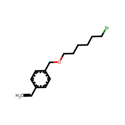 C=Cc1ccc(COCCCCCCBr)cc1